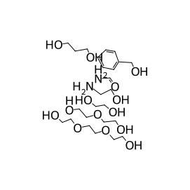 NC=O.NCCO.OCCCO.OCCO.OCCOCCO.OCCOCCOCCO.OCc1ccccc1